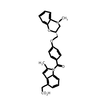 Cc1cc2c(CC(=O)O)cccc2n1C(=O)c1ccc(OC[C@H]2CN(C)c3ccccc3O2)cc1